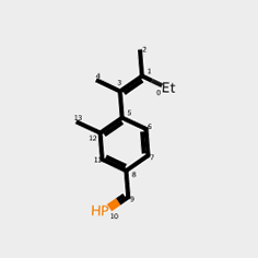 CC/C(C)=C(/C)c1ccc(C=P)cc1C